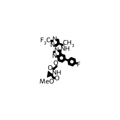 COC(=O)C1(NC(=O)COc2cc(-c3ccc(F)cc3)cc3c(N[C@H](C)c4cnc(C(F)(F)F)nc4)ncnc23)CC1